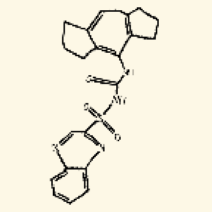 O=C(Nc1c2c(cc3c1CCC3)CCC2)NS(=O)(=O)c1cnc2ccccc2n1